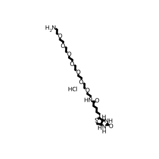 Cl.NCCOCCOCCOCCOCCOCCOCCOCCNC(=O)CCCC[C@@H]1SC[C@@H]2NC(=O)N[C@@H]21